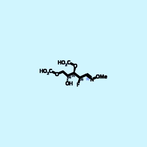 CO/N=C/[C@@H](F)[C@H](OC(=O)O)[C@H](O)COC(=O)O